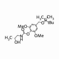 COc1cc(CO[Si](C)(C)C(C)(C)C)cc(OC)c1OC(=O)NC[C@@H](C)O